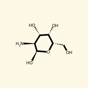 N[C@H]1[C@H](O)[C@H](O)[C@H](CO)O[C@H]1O